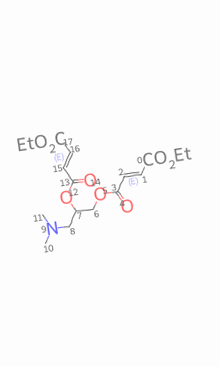 CCOC(=O)/C=C/C(=O)OCC(CN(C)C)OC(=O)/C=C/C(=O)OCC